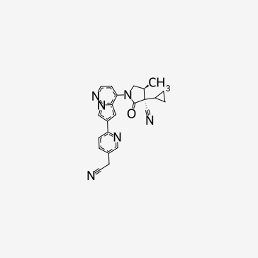 C[C@@H]1CN(c2ccnn3cc(-c4ccc(CC#N)cn4)cc23)C(=O)[C@]1(C#N)C1CC1